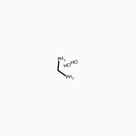 Cl.Cl.PCP